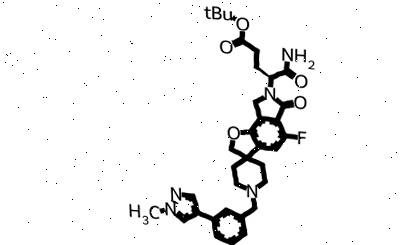 Cn1cc(-c2cccc(CN3CCC4(CC3)COc3c4cc(F)c4c3CN([C@@H](CCC(=O)OC(C)(C)C)C(N)=O)C4=O)c2)cn1